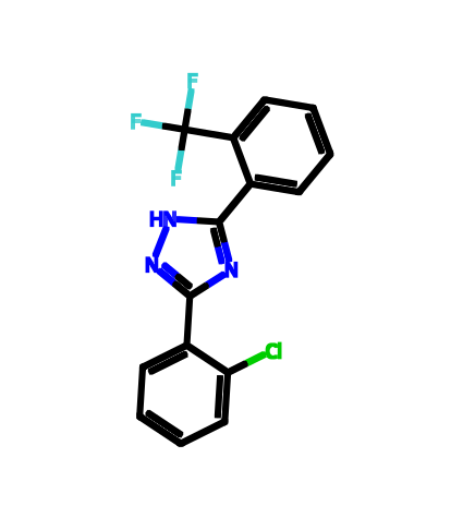 FC(F)(F)c1ccccc1-c1nc(-c2ccccc2Cl)n[nH]1